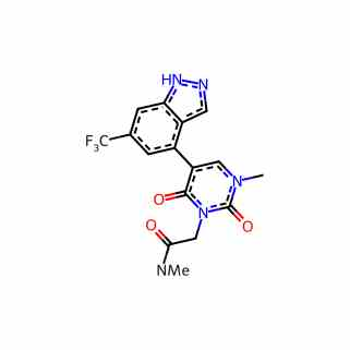 CNC(=O)Cn1c(=O)c(-c2cc(C(F)(F)F)cc3[nH]ncc23)cn(C)c1=O